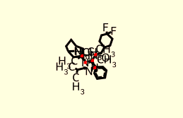 CC(C)c1nnc(C(C)(C)C)n1C1CC2CCC(C1)N2C(C)(C)C[C@H](NC(=O)C1CCC(F)(F)CC1)c1ccccc1